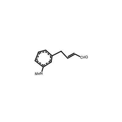 CNc1cccc(CC=CC=O)c1